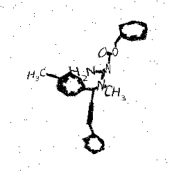 Cc1ccc(C(C#Cc2ccccc2)N(C)/C(N)=N/C(=O)OCc2ccccc2)cc1